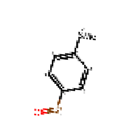 CSc1ccc([S+]=O)cc1